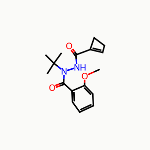 COc1ccccc1C(=O)N(NC(=O)C1=CCC1)C(C)(C)C